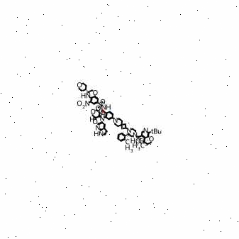 Cc1ccccc1[C@@H]1CN([C@@H](C)c2cnc(C(C)(C)C)c3c2C(C)(C)CCO3)CCN1C1CC2(CCN(c3ccc(C(=O)NS(=O)(=O)c4cc5c(c([N+](=O)[O-])c4)N[C@H](C4CCOCC4)CO5)c(N4c5cc6cc[nH]c6nc5O[C@H]5COCC[C@@H]54)c3)CC2)C1